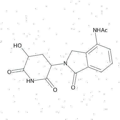 CC(=O)Nc1cccc2c1CN(C1CC(O)C(=O)NC1=O)C2=O